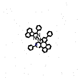 C=C1c2cccc3cccc(c23)-c2cc(-c3ccccc3)cc3c2c1c(/C=C(\C)c1ccccc1)n3-c1nc(-c2ccccc2)c2c(n1)-c1cccc3cccc-2c13